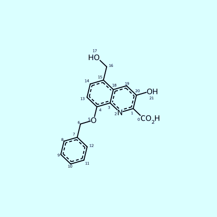 O=C(O)c1nc2c(OCc3ccccc3)ccc(CO)c2cc1O